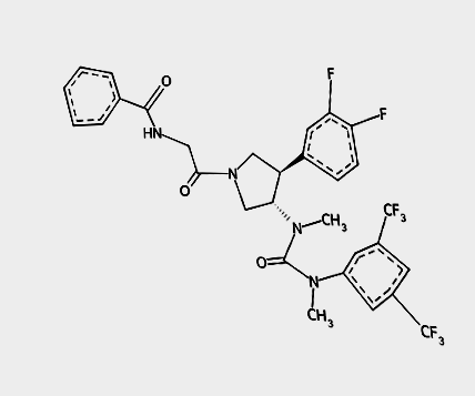 CN(C(=O)N(C)[C@@H]1CN(C(=O)CNC(=O)c2ccccc2)C[C@H]1c1ccc(F)c(F)c1)c1cc(C(F)(F)F)cc(C(F)(F)F)c1